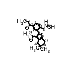 CCC(=O)c1ccc(CNS)c(-c2sc3c(c2C(C)=O)CC(C)(C)CC3)c1